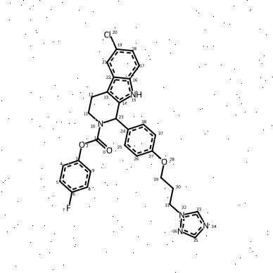 O=C(Oc1ccc(F)cc1)N1CCc2c([nH]c3ccc(Cl)cc23)C1c1ccc(OCCCn2cncn2)cc1